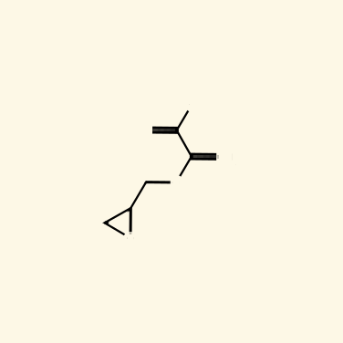 C=C(OCC1CO1)C(C)=O